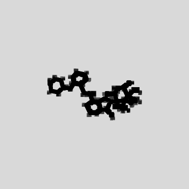 BC1(B)C(=O)NC(=O)C(O)(N2Cc3c(NCc4ccccc4CN4CCOCC4)cccc3C2=O)C1(B)O